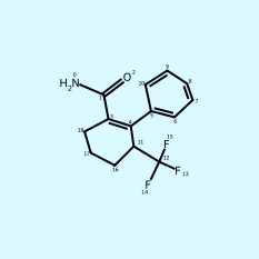 NC(=O)C1=C(c2ccccc2)C(C(F)(F)F)CCC1